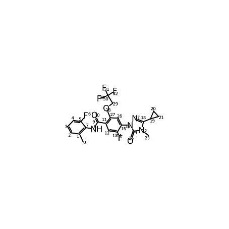 Cc1cccc(F)c1NC(=O)c1cc(F)c(-n2nc(C3CC3)n(C)c2=O)cc1OCC(F)(F)F